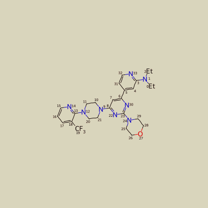 CCN(CC)c1cc(-c2cc(N3CCN(c4ncccc4C(F)(F)F)CC3)nc(N3CCOCC3)n2)ccn1